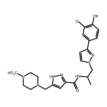 CC(Cn1ccc(-c2ccc(C#N)c(Cl)c2)n1)NC(=O)c1cc(CN2CCN(C(=O)O)CC2)[nH]n1